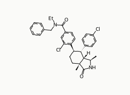 CCN(Cc1ccccc1)C(=O)c1ccc([C@@H]2CC[C@@]3(C)C(=O)N[C@H](C)[C@H]3[C@H]2c2ccc(Cl)cc2)c(Cl)c1